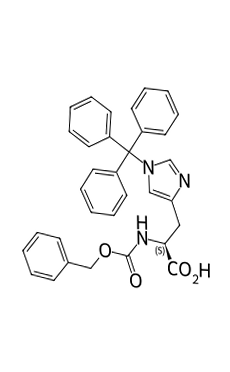 O=C(N[C@@H](Cc1cn(C(c2ccccc2)(c2ccccc2)c2ccccc2)cn1)C(=O)O)OCc1ccccc1